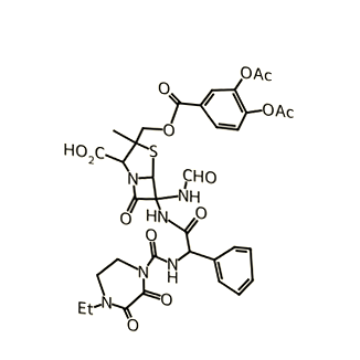 CCN1CCN(C(=O)NC(C(=O)NC2(NC=O)C(=O)N3C(C(=O)O)C(C)(COC(=O)c4ccc(OC(C)=O)c(OC(C)=O)c4)SC32)c2ccccc2)C(=O)C1=O